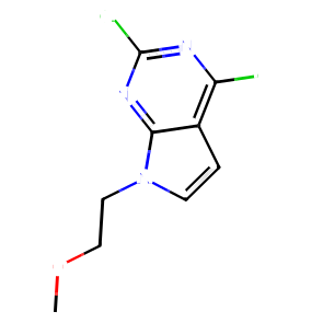 COCCn1ccc2c(Cl)nc(Cl)nc21